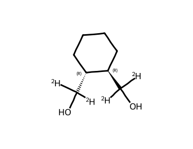 [2H]C([2H])(O)[C@@H]1CCCC[C@H]1C([2H])([2H])O